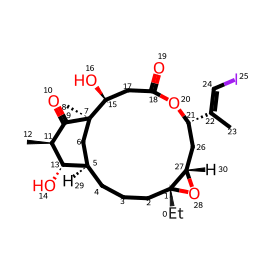 CC[C@@]12CCC[C@@H]3C[C@@](C)(C(=O)[C@H](C)[C@H]3O)[C@@H](O)CC(=O)O[C@H](/C(C)=C/I)C[C@@H]1O2